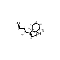 C[C@H](CC=O)C1=CC[C@H]2[C@@H](C)CCC[C@]12C